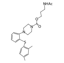 CC(=O)NCCCOC(=O)N1CCN(c2ccccc2Sc2ccc(C)cc2C)CC1